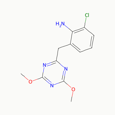 COc1nc(Cc2cccc(Cl)c2N)nc(OC)n1